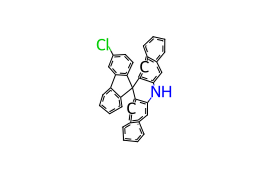 Clc1ccc2c(c1)-c1ccccc1C21c2cc3ccccc3cc2Nc2cc3ccccc3cc21